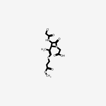 COC(=O)CCSC=C(C)C1C(NC(=O)CCl)C(=O)N1CC(=O)O